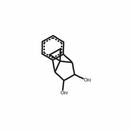 OC1C(O)C2c3ccccc3C1C21CC1